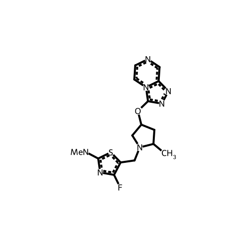 CNc1nc(F)c(CN2CC(Oc3nnc4cnccn34)CC2C)s1